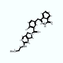 COCCNc1ncc2c(n1)CN(C(=O)c1cc(Cc3n[nH]c(=O)c4ccccc34)ccc1F)C2